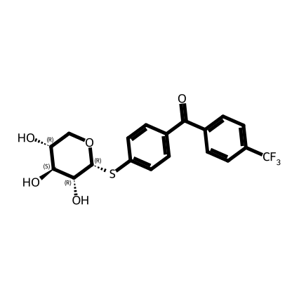 O=C(c1ccc(S[C@H]2OC[C@@H](O)[C@H](O)[C@H]2O)cc1)c1ccc(C(F)(F)F)cc1